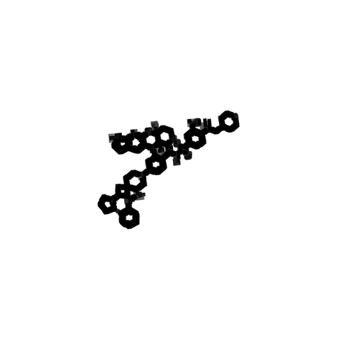 CC(C)Oc1ccccc1[C@@H]1CCCN1C1CC2(CCN(c3ccc(C(=O)NS(=O)(=O)c4ccc(NCC5CCOCC5)c([N+](=O)[O-])c4)c(N4c5cc6cc[nH]c6nc5O[C@H]5CCOC[C@H]54)c3)CC2)C1